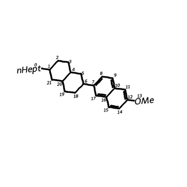 CCCCCCCC1CCC2CC(c3ccc4cc(OC)ccc4c3)CCC2C1